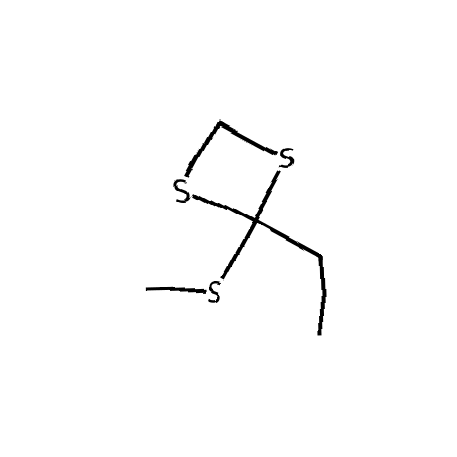 CCC1(SC)SCS1